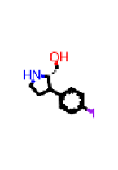 OC[C@H]1NCCC1c1ccc(I)cc1